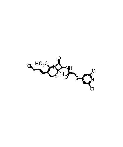 O=C(CSc1cc(Cl)nc(Cl)c1)N[C@@H]1C(=O)N2C(C(=O)O)=C(C=CCCl)CS[C@H]12